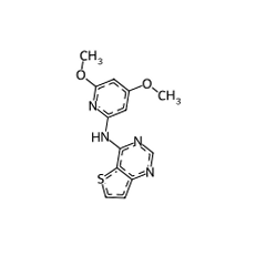 COc1cc(Nc2ncnc3ccsc23)nc(OC)c1